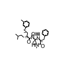 CNC(=O)[C@H](Cc1ccccc1)NC(=O)N(O)C(=O)[C@H](CCC(C)C)CSc1cccc(C)c1